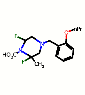 CCCOc1ccccc1CN1CC(F)N(C(=O)O)C(C)(F)C1